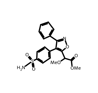 COC(=O)C(OC)c1onc(-c2ccccc2)c1-c1ccc(S(N)(=O)=O)cc1